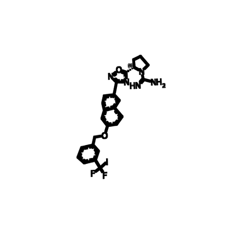 N=C(N)N1CCC[C@H]1c1nc(-c2ccc3cc(OCc4cccc(C(F)(F)I)c4)ccc3c2)no1